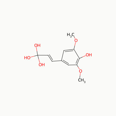 COc1cc(/C=C/C(O)(O)O)cc(OC)c1O